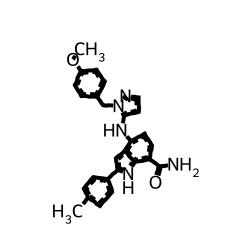 COc1ccc(Cn2nccc2Nc2ccc(C(N)=O)c3[nH]c(-c4ccc(C)cc4)cc23)cc1